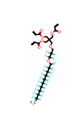 C=CC(=O)OCC(COCC(F)(F)C(F)(F)OC(F)C(F)(F)C(F)(F)C(F)(F)C(F)(F)C(F)(F)C(F)(F)C(F)(F)C(F)(F)C(F)(F)C(F)(F)F)(COC(=O)C=C)COC(=O)C=C